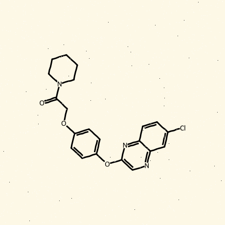 O=C(COc1ccc(Oc2cnc3cc(Cl)ccc3n2)cc1)N1CCCCC1